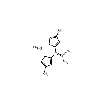 CC1=CC[C]([Ti]([C]2=CC(C)=CC2)=[Si](C)C)=C1.Cl.Cl